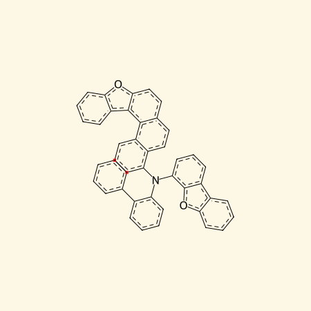 c1ccc(-c2ccccc2N(c2cccc3c2ccc2ccc4oc5ccccc5c4c23)c2cccc3c2oc2ccccc23)cc1